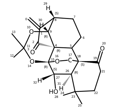 C=C1C(=O)[C@@]23C4CC[C@@H]1[C@H]2OC(C)(C)O[C@]31OC[C@]42C(=O)CCC(C)(C)[C@H]2[C@@H]1O